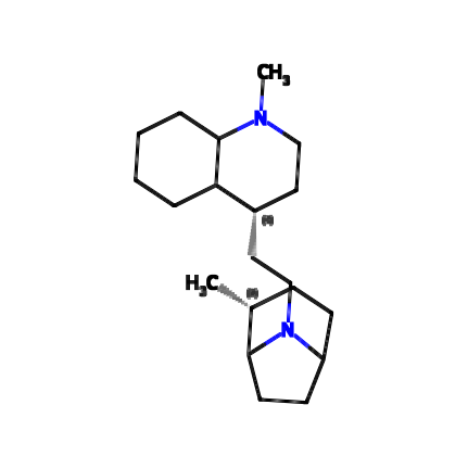 C[C@@H]1CCC2CCC1N2CC[C@H]1CCN(C)C2CCCCC21